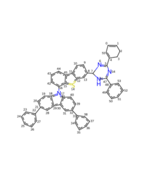 C1=CCCC(C2=NC(c3ccc4c(c3)sc3c(-n5c6ccc(-c7ccccc7)cc6c6cc(-c7ccccc7)ccc65)cccc34)NC(c3ccccc3)=N2)=C1